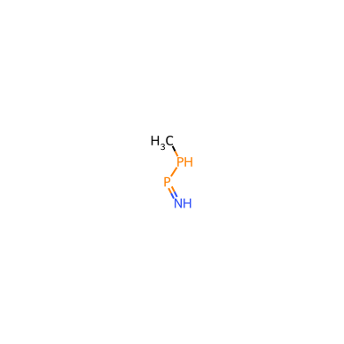 CPP=N